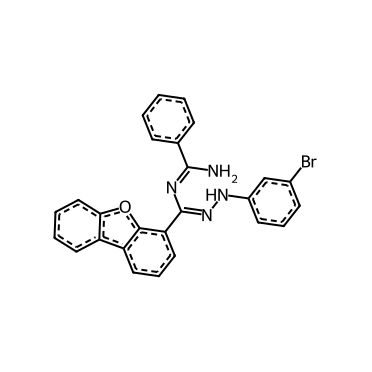 N/C(=N\C(=N/Nc1cccc(Br)c1)c1cccc2c1oc1ccccc12)c1ccccc1